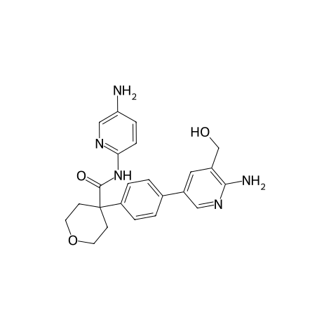 Nc1ccc(NC(=O)C2(c3ccc(-c4cnc(N)c(CO)c4)cc3)CCOCC2)nc1